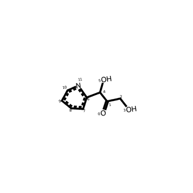 O=C(CO)C(O)c1ccccn1